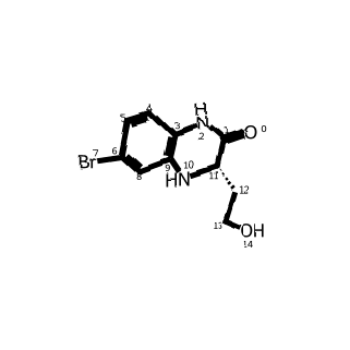 O=C1Nc2ccc(Br)cc2N[C@H]1CCO